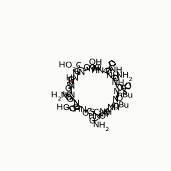 CCCC[C@H]1C(=O)N(C)[C@@H](CCCC)C(=O)N[C@@H](CC(C)C)C(=O)N[C@H](C(=O)NCC(N)=O)CSCC(=O)N[C@@H](Cc2ccc(O)cc2)C(=O)N(C)[C@@H](C)C(=O)N[C@@H](CC(N)=O)C(=O)N2CCC[C@H]2C(=O)N[C@H](C)C(=O)N[C@@H](CCC(=O)O)C(=O)N2C[C@H](O)C[C@H]2C(=O)N[C@@H](Cc2c[nH]c3ccccc23)C(=O)N[C@@H](CCN)C(=O)N[C@@H](Cc2csc3ccccc23)C(=O)N1C